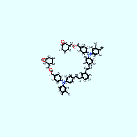 Cc1ccc(N(c2ccc(C=Cc3cccc(C=Cc4ccc(N(c5ccc(COCC6CCCC7OC67)cc5)c5ccc(C)c(C)c5)cc4)c3)cc2)c2ccc(COCC3CCCC4OC34)cc2)cc1C